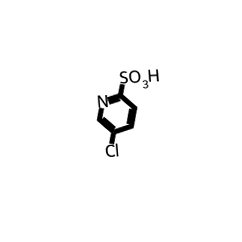 O=S(=O)(O)c1ccc(Cl)cn1